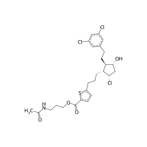 CC(=O)NCCCOC(=O)c1ccc(CCC[C@@H]2[C@@H](CCc3cc(Cl)cc(Cl)c3)[C@H](O)C[C@@H]2Cl)s1